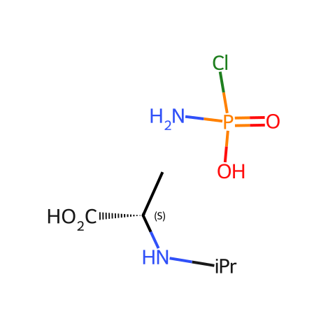 CC(C)N[C@@H](C)C(=O)O.NP(=O)(O)Cl